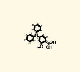 COc1cc(N(c2ccccc2)c2ccccc2)ccc1B(O)O